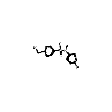 CN(c1ccc(F)cc1)S(=O)(=O)c1ccc(CBr)cc1